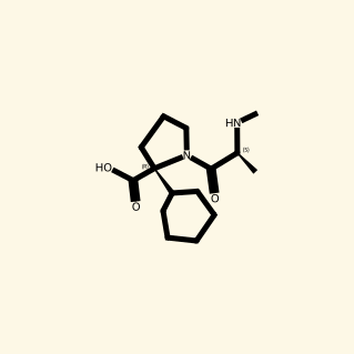 CN[C@@H](C)C(=O)N1CCC[C@]1(C(=O)O)C1CCCCC1